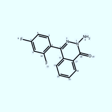 Nn1nc(-c2ccc(F)cc2F)c2ccccc2c1=O